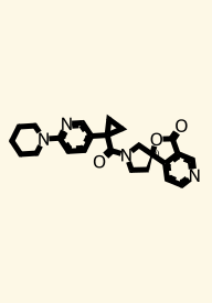 O=C1O[C@]2(CCN(C(=O)C3(c4ccc(N5CCCCC5)nc4)CC3)C2)c2ccncc21